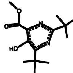 COC(=O)c1nc(C(C)(C)C)nc(C(C)(C)C)c1O